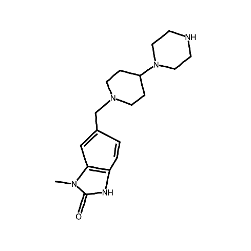 Cn1c(=O)[nH]c2ccc(CN3CCC(N4CCNCC4)CC3)cc21